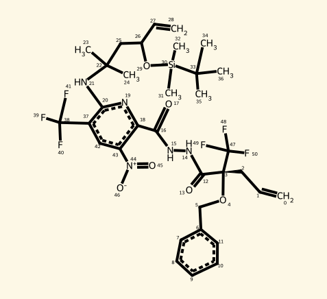 C=CC[C@@](OCc1ccccc1)(C(=O)NNC(=O)c1nc(NC(C)(C)CC(C=C)O[Si](C)(C)C(C)(C)C)c(C(F)(F)F)cc1[N+](=O)[O-])C(F)(F)F